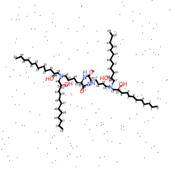 CCCCCCCCCC[C@H](O)CN(CCCC[C@@H]1NC(=O)[C@@H](CCCCN(C[C@@H](O)CCCCCCCCCC)C[C@@H](O)CCCCCCCCCC)NC1=O)C[C@@H](O)CCCCCCCCCC